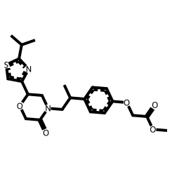 COC(=O)COc1ccc(C(C)CN2CC(c3csc(C(C)C)n3)OCC2=O)cc1